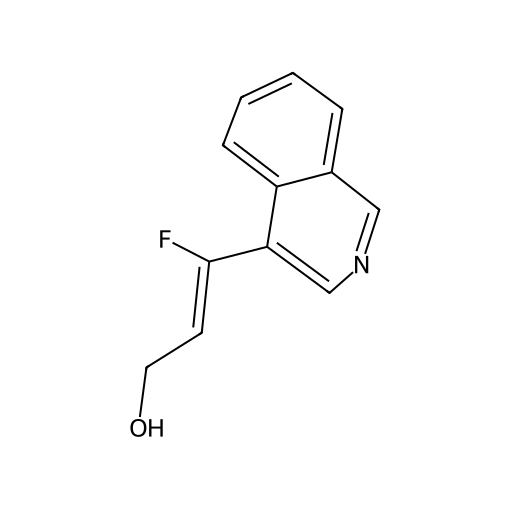 OCC=C(F)c1cncc2ccccc12